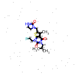 Cc1c(CN2CCNC2=O)sc2c1c(=O)n(CC(C)C)c(=O)n2CCF